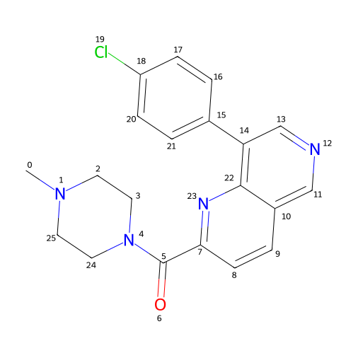 CN1CCN(C(=O)c2ccc3cncc(-c4ccc(Cl)cc4)c3n2)CC1